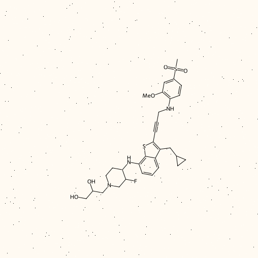 COc1cc(S(C)(=O)=O)ccc1NCC#Cc1sc2c(NC3CCN(CC(O)CO)CC3F)cccc2c1CC1CC1